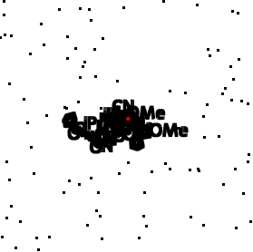 COc1ccc(C(OC[C@H]2O[C@@H](n3cnc4c(=O)n(CCCOC(=O)c5ccccc5)cnc43)[C@H](OP(OCCC#N)N(C(C)C)C(C)C)[C@@H]2O[Si](C)(C)C(C)(C)C)(c2ccccc2)c2ccc(OC)cc2)cc1